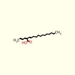 C/C=C/C=C(/C=C/CCCCCCCCCCC)C(=O)O